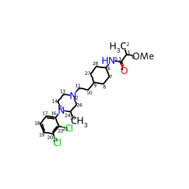 COC(C)C(=O)NC1CCC(CCN2CCN(c3cccc(Cl)c3Cl)C(C)C2)CC1